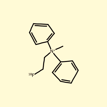 C[N+](CC[18F])(c1ccccc1)c1ccccc1